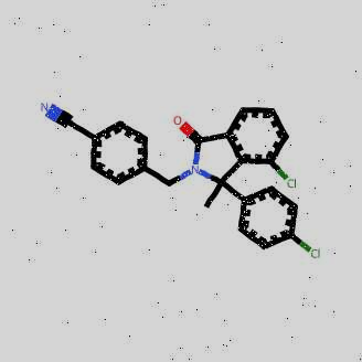 CC1(c2ccc(Cl)cc2)c2c(Cl)cccc2C(=O)N1Cc1ccc(C#N)cc1